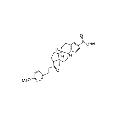 COC(=O)c1ccc2c(c1)CC[C@@H]1[C@@H]2CC[C@]2(C)[C@@H](C(=O)CCc3ccc(OC)cc3)CC[C@@H]12